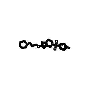 Cc1ccc(S(=O)(=O)N2CCc3sc(OCCCN4CCCCC4)cc3C2)cc1